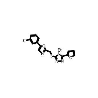 CCn1c(SCc2ncc(-c3cccc(Cl)c3)o2)nnc1-c1ccco1